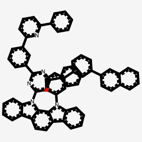 c1ccc(-c2cccc(-c3cccc(-c4nc(-c5ccccc5)nc(-n5c6ccccc6c6ccc7c8ccccc8n(-c8cccc(-c9cccc(-c%10ccc%11ccccc%11c%10)c9)c8)c7c65)n4)c3)n2)cc1